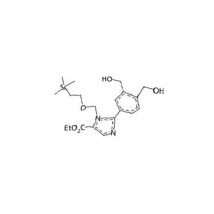 CCOC(=O)c1cnc(-c2ccc(CO)c(CO)c2)n1COCC[Si](C)(C)C